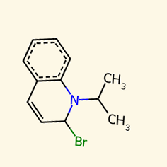 CC(C)N1c2ccccc2C=CC1Br